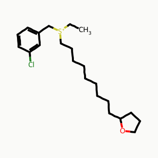 CC[S+](CCCCCCCCCC1CCCO1)Cc1cccc(Cl)c1